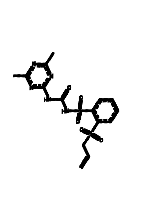 C=CCS(=O)(=O)c1ccccc1S(=O)(=O)NC(=O)Nc1nc(C)nc(C)n1